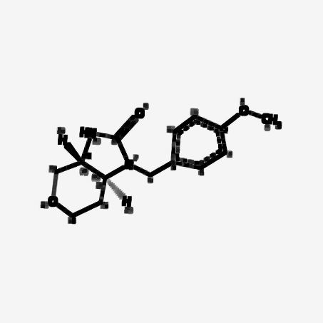 COc1ccc(CN2C(=O)N[C@H]3COCC[C@@H]32)cc1